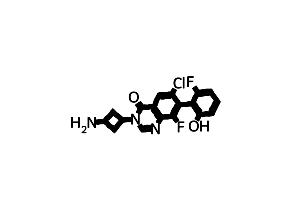 NC1CC(n2cnc3c(F)c(-c4c(O)cccc4F)c(Cl)cc3c2=O)C1